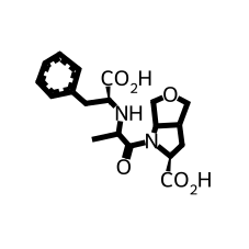 CC(N[C@@H](Cc1ccccc1)C(=O)O)C(=O)N1C2COCC2C[C@H]1C(=O)O